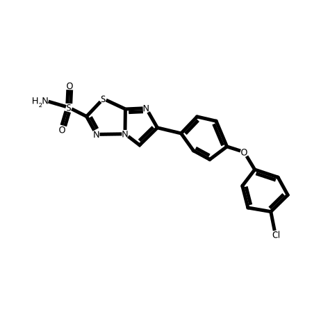 NS(=O)(=O)c1nn2cc(-c3ccc(Oc4ccc(Cl)cc4)cc3)nc2s1